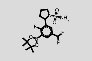 CC1(C)OB(c2cc(C(F)F)cc(C3CCCN3S(N)(=O)=O)c2F)OC1(C)C